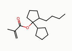 C=C(C)C(=O)OC1(C2CCCC2)CCCC1CCCC